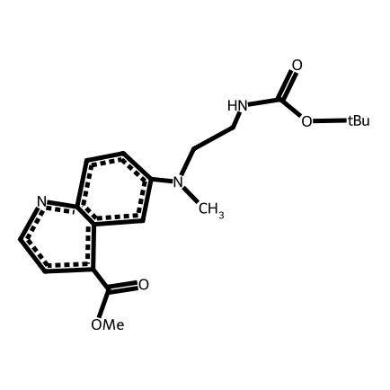 COC(=O)c1ccnc2ccc(N(C)CCNC(=O)OC(C)(C)C)cc12